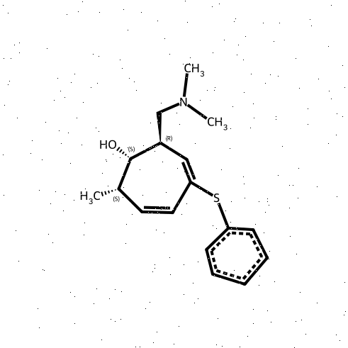 C[C@H]1C=CC(Sc2ccccc2)=C[C@H](CN(C)C)[C@H]1O